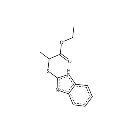 CCOC(=O)C(C)Sc1nc2ccccc2[nH]1